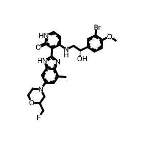 COc1ccc([C@H](O)CNc2cc[nH]c(=O)c2-c2nc3c(C)cc(N4CCOC(CF)C4)cc3[nH]2)cc1Br